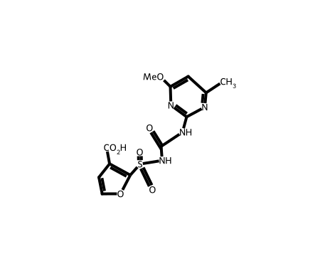 COc1cc(C)nc(NC(=O)NS(=O)(=O)c2occc2C(=O)O)n1